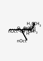 CCCCCCCC/C=C\CCCCCCCC(=O)OCC(COC(=O)CCNC(=O)[C@H](O)C(C)(C)COC(=O)CCN(C)C)OC(=O)CCCCCCC/C=C\CCCCCCCC